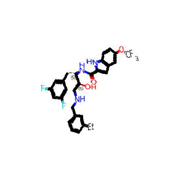 CCc1cccc(CNC[C@H](O)[C@H](Cc2cc(F)cc(F)c2)NC(=O)c2cc3cc(OC(F)(F)F)ccc3[nH]2)c1